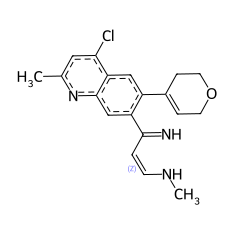 CN/C=C\C(=N)c1cc2nc(C)cc(Cl)c2cc1C1=CCOCC1